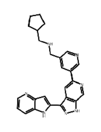 c1cnc2cc(-c3n[nH]c4cnc(-c5cncc(CNCC6CCCC6)c5)cc34)[nH]c2c1